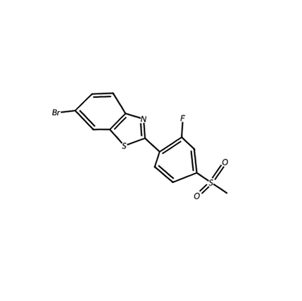 CS(=O)(=O)c1ccc(-c2nc3ccc(Br)cc3s2)c(F)c1